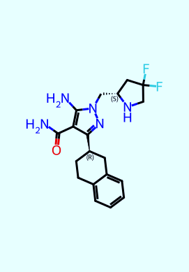 NC(=O)c1c([C@@H]2CCc3ccccc3C2)nn(C[C@@H]2CC(F)(F)CN2)c1N